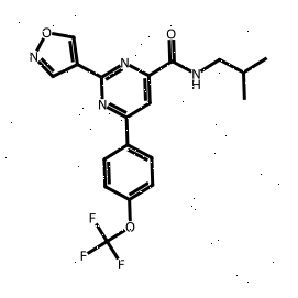 CC(C)CNC(=O)c1cc(-c2ccc(OC(F)(F)F)cc2)nc(-c2cnoc2)n1